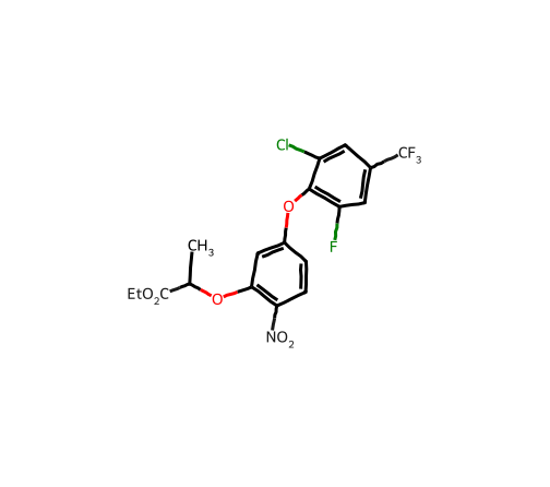 CCOC(=O)C(C)Oc1cc(Oc2c(F)cc(C(F)(F)F)cc2Cl)ccc1[N+](=O)[O-]